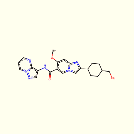 CC(C)Oc1cc2nc([C@H]3CC[C@H](CO)CC3)cn2cc1C(=O)Nc1cnn2cccnc12